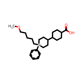 COCCCCC[Si]1(c2ccccc2)CCC(C2CCC(C(=O)O)CC2)CC1